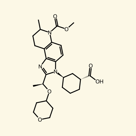 COC(=O)N1c2ccc3c(nc([C@H](C)OC4CCOCC4)n3[C@@H]3CCC[C@@H](C(=O)O)C3)c2CCC1C